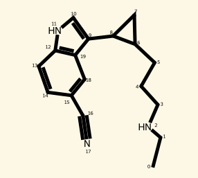 CCNCCCC1CC1c1c[nH]c2ccc(C#N)cc12